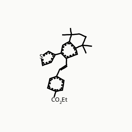 CCOC(=O)c1ccc(/C=C/c2cc3c(cc2-c2ccsc2)C(C)(C)CCC3(C)C)cc1